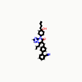 C=CCCC1(O)CCC(n2c(=O)c(Cc3ccc(-c4ccccc4C#N)cc3)c(CCC)n3ncnc23)CC1